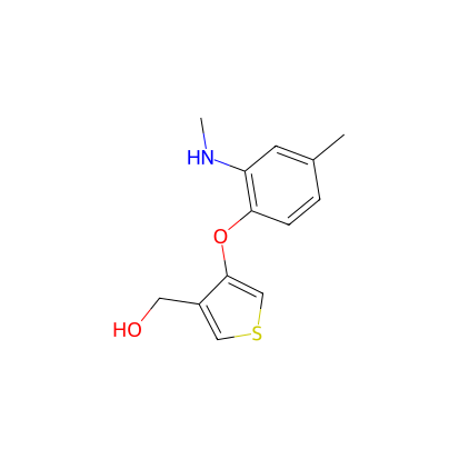 CNc1cc(C)ccc1Oc1cscc1CO